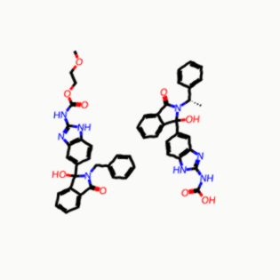 COCCOC(=O)Nc1nc2cc(C3(O)c4ccccc4C(=O)N3Cc3ccccc3)ccc2[nH]1.C[C@@H](c1ccccc1)N1C(=O)c2ccccc2C1(O)c1ccc2[nH]c(NC(=O)O)nc2c1